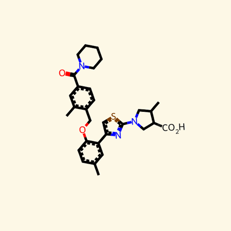 Cc1ccc(OCc2ccc(C(=O)N3CCCCC3)cc2C)c(-c2csc(N3CC(C)C(C(=O)O)C3)n2)c1